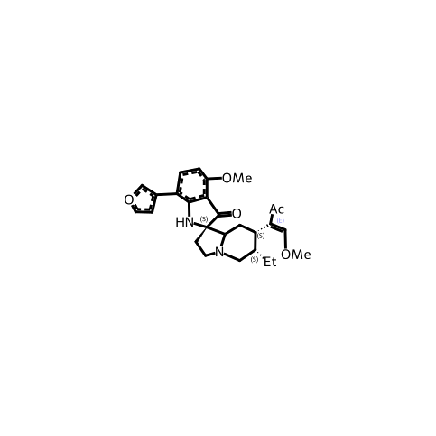 CC[C@@H]1CN2CC[C@]3(Nc4c(-c5ccoc5)ccc(OC)c4C3=O)C2C[C@@H]1/C(=C\OC)C(C)=O